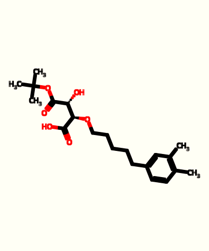 Cc1ccc(CCCCCO[C@@H](C(=O)O)[C@@H](O)C(=O)OC(C)(C)C)cc1C